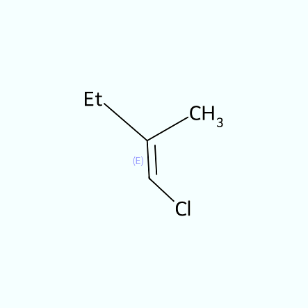 CC/C(C)=C/Cl